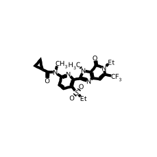 CCn1c(C(F)(F)F)cc2nc(-c3nc(N(C)C(=O)C4CC4)ccc3S(=O)(=O)CC)n(C)c2c1=O